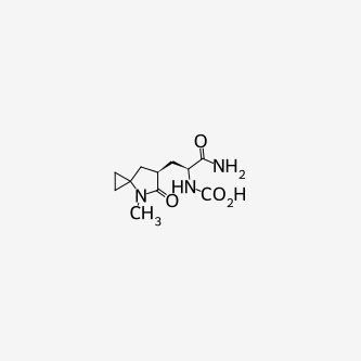 CN1C(=O)[C@H](C[C@H](NC(=O)O)C(N)=O)CC12CC2